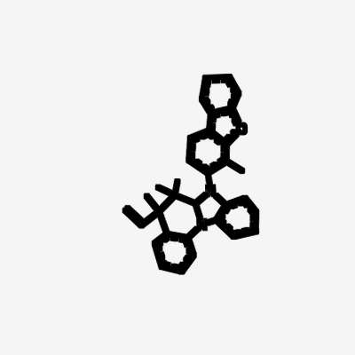 C=CC1(C)c2ccccc2N2c3ccccc3N(c3ccc4c(oc5ccccc54)c3C)C2C1(C)C